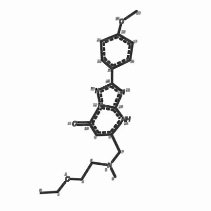 CCOCCN(C)Cc1cc(=O)n2nc(-c3ccc(OC)cc3)nc2[nH]1